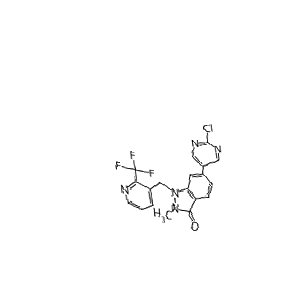 Cn1c(=O)c2ccc(-c3cnc(Cl)nc3)cc2n1Cc1cccnc1C(F)(F)F